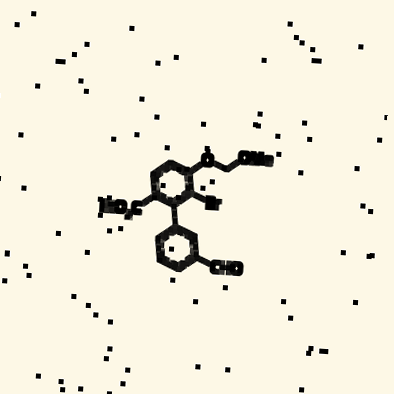 CCOC(=O)c1ccc(OCOC)c(Br)c1-c1cccc(C=O)c1